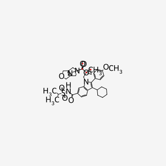 COC(=O)N1CC23COCC2(C1)CN(C(=O)C1(Cn2c(-c4ccc(OC)cc4)c(C4CCCCC4)c4ccc(C(=O)NS(=O)(=O)C(C)C)cc42)CC1)C3